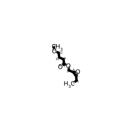 CCC1OC1COC(=O)CCCOC